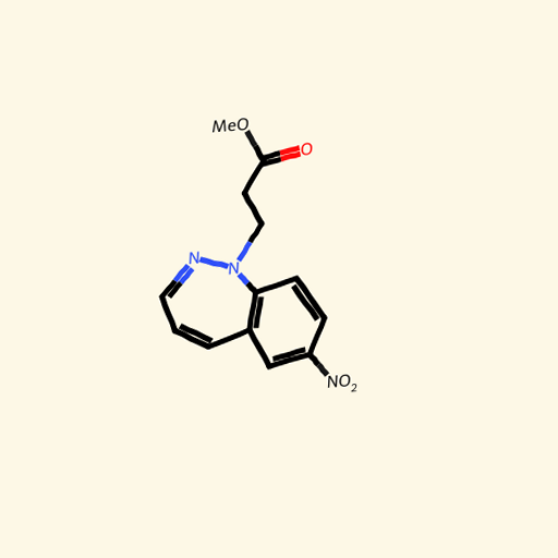 COC(=O)CCN1N=CC=Cc2cc([N+](=O)[O-])ccc21